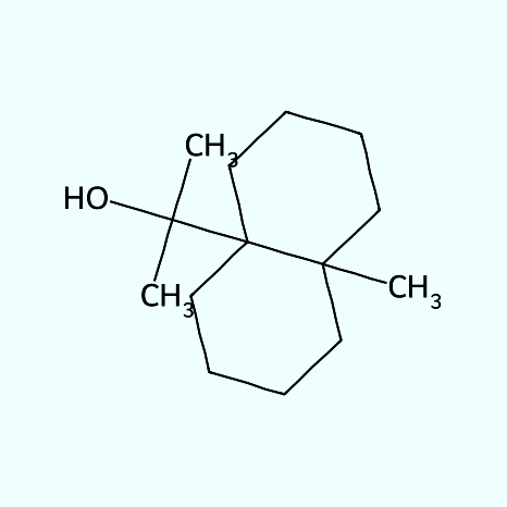 CC(C)(O)C12CCCCC1(C)CCCC2